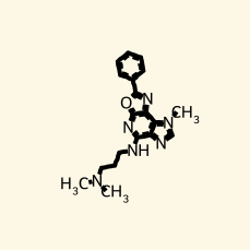 CN(C)CCCNc1nc2oc(-c3ccccc3)nc2c2c1ncn2C